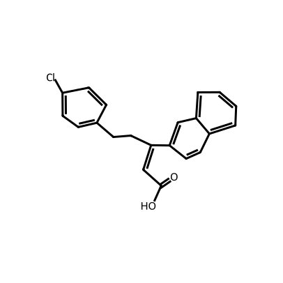 O=C(O)/C=C(/CCc1ccc(Cl)cc1)c1ccc2ccccc2c1